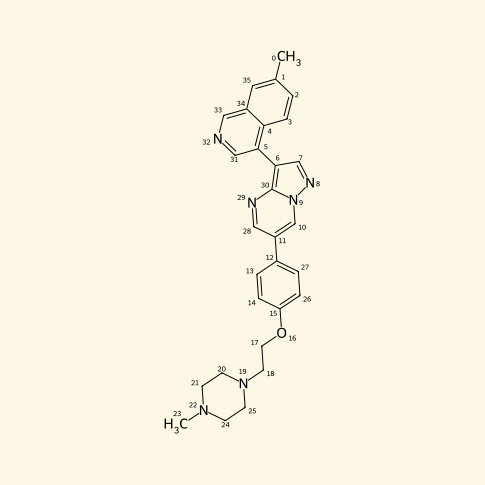 Cc1ccc2c(-c3cnn4cc(-c5ccc(OCCN6CCN(C)CC6)cc5)cnc34)cncc2c1